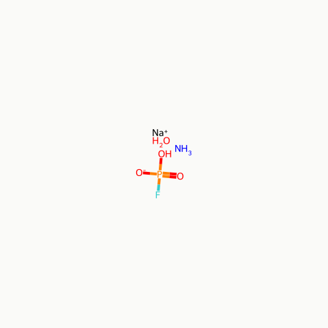 N.O.O=P([O-])(O)F.[Na+]